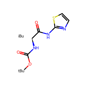 CC[C@H](C)[C@H](NC(=O)OC(C)(C)C)C(=O)Nc1nccs1